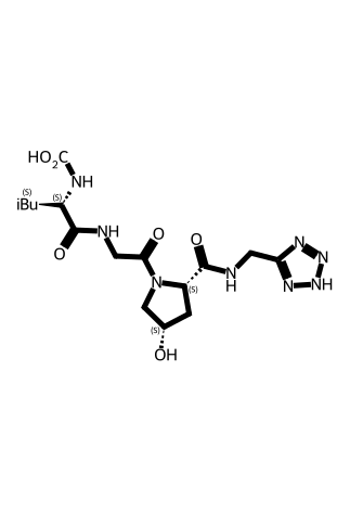 CC[C@H](C)[C@H](NC(=O)O)C(=O)NCC(=O)N1C[C@@H](O)C[C@H]1C(=O)NCc1nn[nH]n1